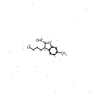 Cc1ccc2c(c1)OC(C=O)N2CCCCl